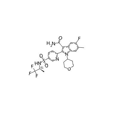 Cc1cc2c(cc1F)c(C(N)=O)c(-c1ccc(S(=O)(=O)N[C@@H](C)C(F)(F)F)cn1)n2C1CCOCC1